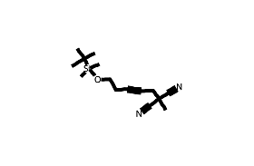 CC(C#N)(C#N)CC#CCCO[Si](C)(C)C(C)(C)C